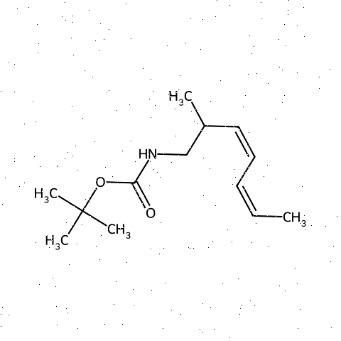 C/C=C\C=C/C(C)CNC(=O)OC(C)(C)C